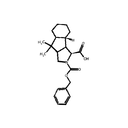 CC1(C)C2CN(C(=O)OCc3ccccc3)[C@H](C(=O)O)C2[C@H]2CCCCC21